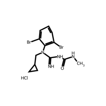 CNC(=O)NC(=N)N(CC1CC1)c1c(Br)cccc1Br.Cl